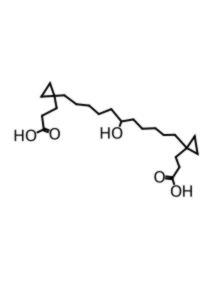 O=C(O)CCC1(CCCCCC(O)CCCCCC2(CCC(=O)O)CC2)CC1